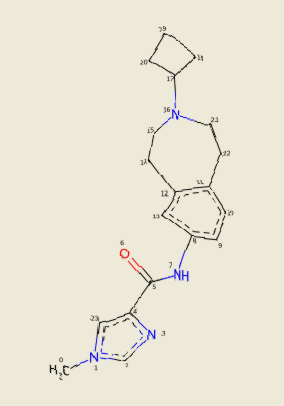 Cn1cnc(C(=O)Nc2ccc3c(c2)CCN(C2CCC2)CC3)c1